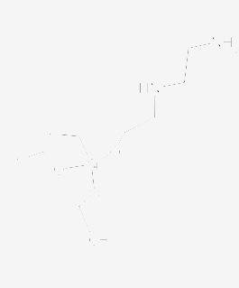 CCO[Si](CC)(OCC)OCCNCCN